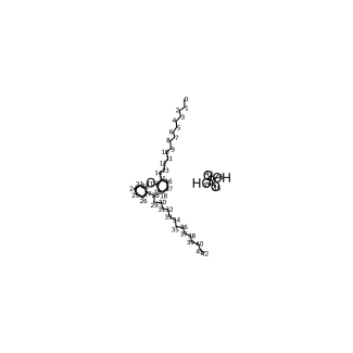 CCCCCCCCCCCCCCCc1ccccc1Oc1ccccc1CCCCCCCCCCCCCCC.O=S(=O)(O)O